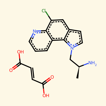 C[C@H](N)Cn1ccc2cc(Cl)c3ncccc3c21.O=C(O)/C=C/C(=O)O